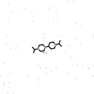 CC(C)N1CCC(N2CCN(C(C)C)C[C@H]2C)CC1